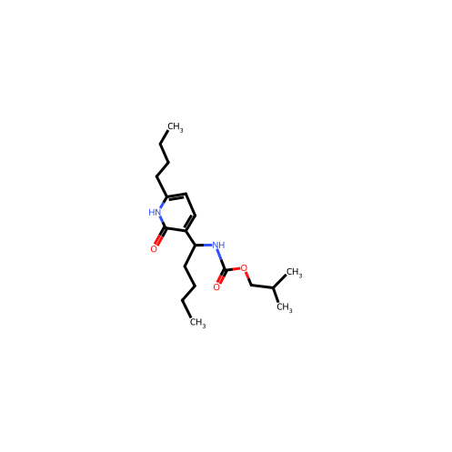 CCCCc1ccc(C(CCCC)NC(=O)OCC(C)C)c(=O)[nH]1